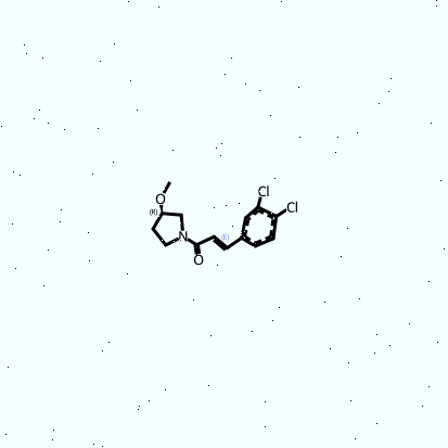 CO[C@@H]1CCN(C(=O)/C=C/c2ccc(Cl)c(Cl)c2)C1